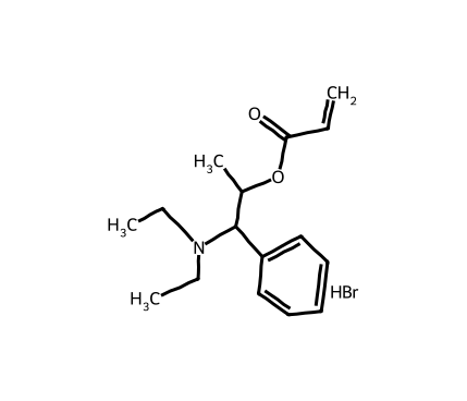 Br.C=CC(=O)OC(C)C(c1ccccc1)N(CC)CC